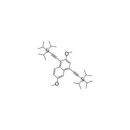 COc1ccc2c(C#C[Si](C(C)C)(C(C)C)C(C)C)c(OC)cc(C#C[Si](C(C)C)(C(C)C)C(C)C)c2c1